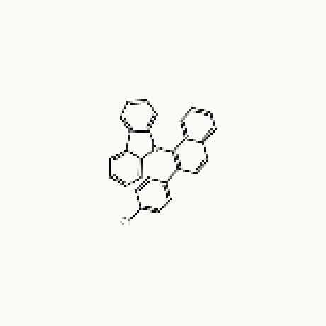 Clc1ccc(-c2ccc3ccccc3c2-n2c3ccccc3c3ccccc32)cc1